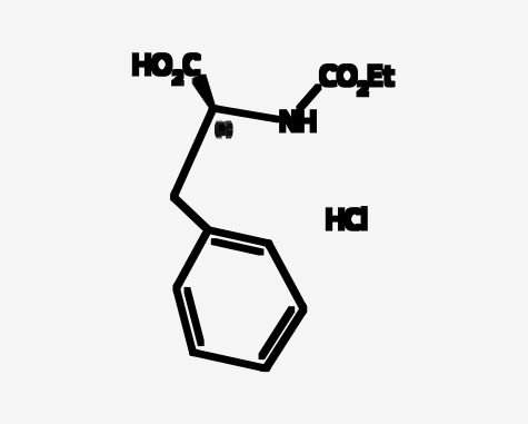 CCOC(=O)N[C@@H](Cc1ccccc1)C(=O)O.Cl